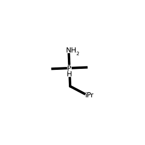 CC(C)C[PH](C)(C)N